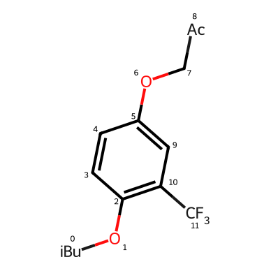 CCC(C)Oc1ccc(OCC(C)=O)cc1C(F)(F)F